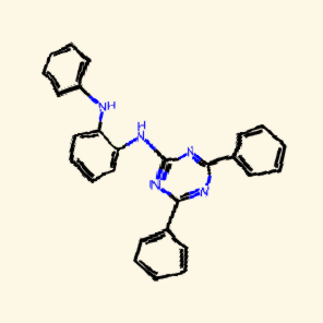 c1ccc(Nc2ccccc2Nc2nc(-c3ccccc3)nc(-c3ccccc3)n2)cc1